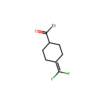 CCC(=O)C1CCC(=C(F)F)CC1